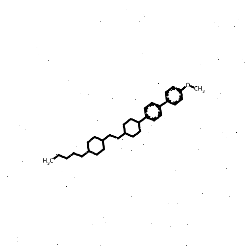 CCCCCC1CCC(CCC2CCC(c3ccc(-c4ccc(OC)cc4)cc3)CC2)CC1